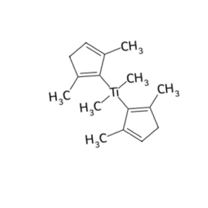 CC1=CCC(C)=[C]1[Ti]([CH3])([CH3])[C]1=C(C)CC=C1C